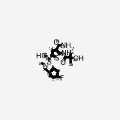 CN(Cc1ccc(F)cc1)SN(O)c1cc(C(N)=O)c(NC(=O)C(C)(C)O)s1